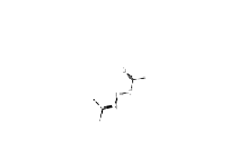 CC(=O)OON=C(C)C